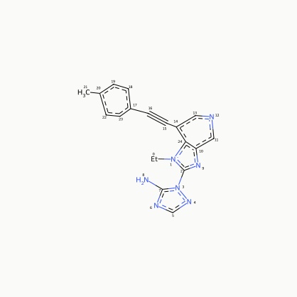 CCn1c(-n2ncnc2N)nc2cncc(C#Cc3ccc(C)cc3)c21